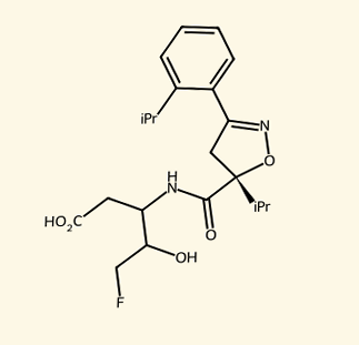 CC(C)c1ccccc1C1=NO[C@@](C(=O)NC(CC(=O)O)C(O)CF)(C(C)C)C1